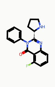 O=c1c2c(F)cccc2nc([C@@H]2CCCN2)n1-c1ccccc1